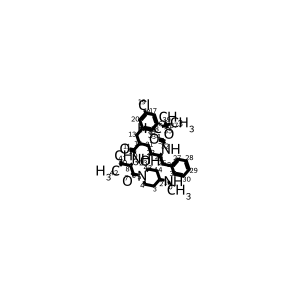 CNC1CCN(C(=O)C(NC(=O)C(Cc2cccc(Cl)c2)CC(O)C(Cc2ccccc2)NC(=O)OC(C)(C)C)C(C)C)CC1